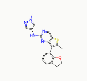 Cc1sc2cnc(Nc3cnn(C)c3)nc2c1-c1cccc2c1OCC2